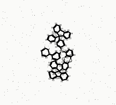 C1=CCC(c2cccc(N(c3ccc(C4(c5ccccc5)c5ccccc5-c5ccccc54)cc3)c3cccc4c3Oc3c(ccc5c3-c3ccccc3C53c5ccccc5-c5ccccc53)O4)c2)C=C1